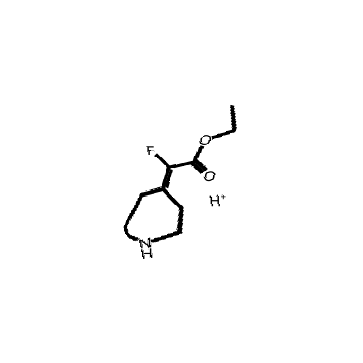 CCOC(=O)C(F)=C1CCNCC1.[H+]